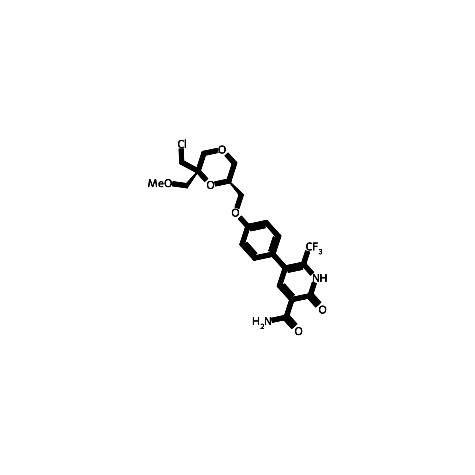 COC[C@@]1(CCl)COC[C@@H](COc2ccc(-c3cc(C(N)=O)c(=O)[nH]c3C(F)(F)F)cc2)O1